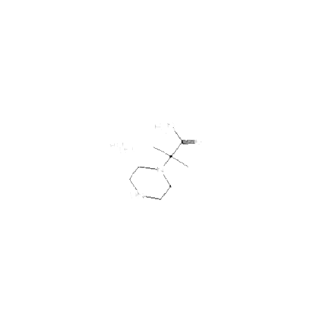 CC(C)(C(N)=O)N1CCNCC1.Cl.Cl